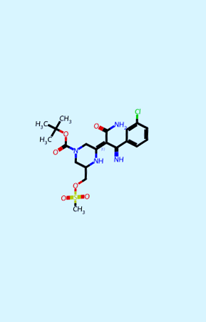 CC(C)(C)OC(=O)N1C/C(=C(/C(=N)c2cccc(Cl)c2)C(N)=O)NC(COS(C)(=O)=O)C1